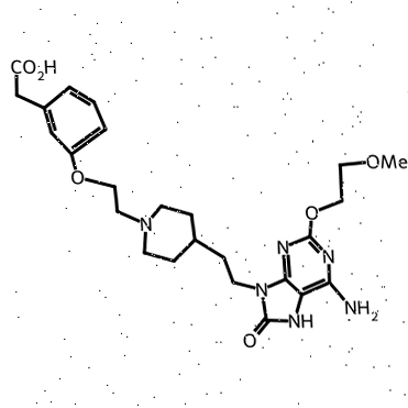 COCCOc1nc(N)c2[nH]c(=O)n(CCC3CCN(CCOc4cccc(CC(=O)O)c4)CC3)c2n1